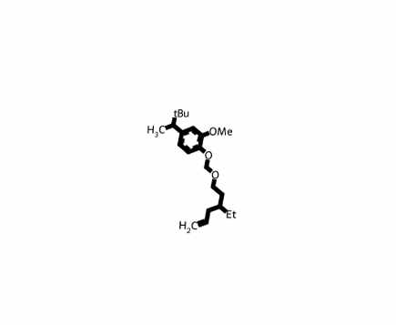 C=CCC(CC)CCOCOc1ccc(C(C)C(C)(C)C)cc1OC